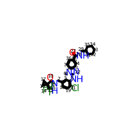 Cn1c(Nc2cc(CNC(=O)C3(C(F)(F)F)CC3)ccc2Cl)nc2cc(C(=O)NCC3CCCCC3)ccc21